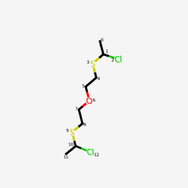 CC(Cl)SCCOCCSC(C)Cl